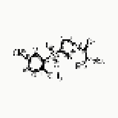 CCN(CC)C(=O)n1ccc(S(=O)(=O)c2cc(Cl)ccc2C)n1